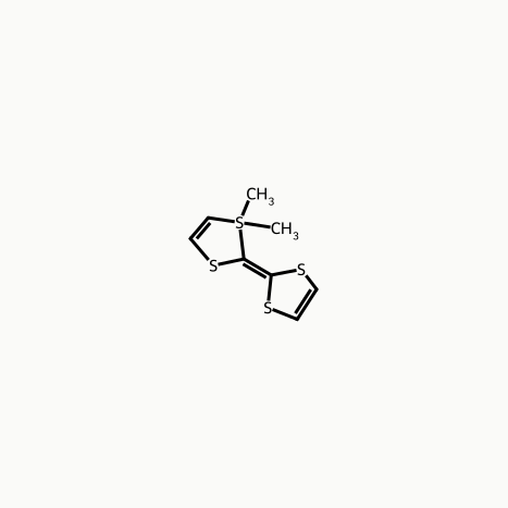 CS1(C)C=CSC1=C1SC=CS1